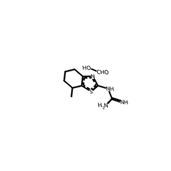 CC1CCCc2nc(NC(=N)N)sc21.O=CO